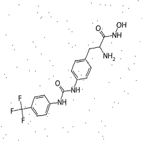 NC(Cc1ccc(NC(=O)Nc2ccc(C(F)(F)F)cc2)cc1)C(=O)NO